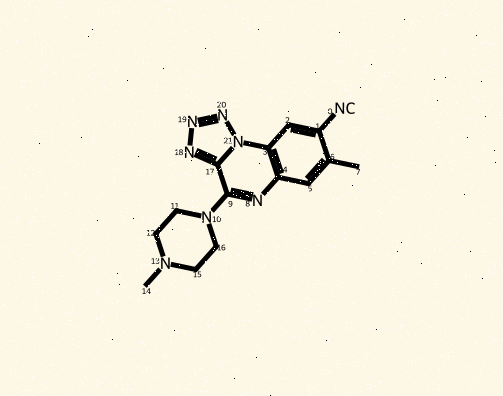 [C-]#[N+]c1cc2c(cc1C)nc(N1CCN(C)CC1)c1nnnn12